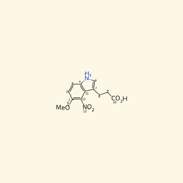 COc1ccc2[nH]cc(CCC(=O)O)c2c1[N+](=O)[O-]